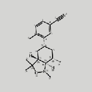 Cc1ccc(C#N)cc1[C@H]1C[C@@H]2[C@@H]([C@@H](C)C1)N(C)OC2(C)C